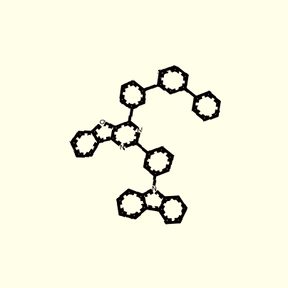 c1ccc(-c2cccc(-c3cccc(-c4nc(-c5cccc(-n6c7ccccc7c7ccccc76)c5)nc5c4oc4ccccc45)c3)c2)cc1